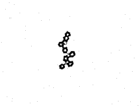 c1ccc(-n2c3ccccc3c3c4c5ccccc5n(-c5ccc(-c6cccc7c6oc6cc8ccccc8cc67)cc5)c4ccc32)cc1